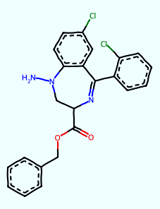 NN1CC(C(=O)OCc2ccccc2)N=C(c2ccccc2Cl)c2cc(Cl)ccc21